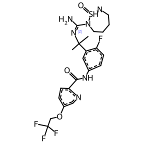 CC(C)(/N=C(/N)N1CCCCN=[SH]1=O)c1cc(NC(=O)c2ccc(OCC(F)(F)F)cn2)ccc1F